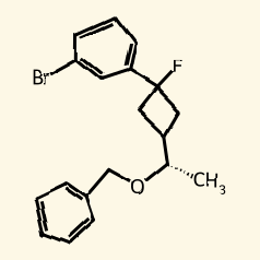 C[C@H](OCc1ccccc1)C1CC(F)(c2cccc(Br)c2)C1